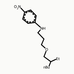 CCCCC(CC)COCCCNc1ccc([N+](=O)[O-])cc1